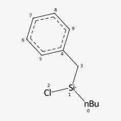 CCCC[Si](Cl)Cc1ccccc1